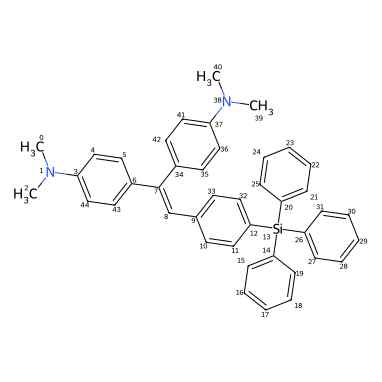 CN(C)c1ccc(C(=Cc2ccc([Si](c3ccccc3)(c3ccccc3)c3ccccc3)cc2)c2ccc(N(C)C)cc2)cc1